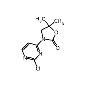 CC1(C)CN(c2ccnc(Cl)n2)C(=O)O1